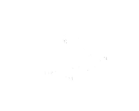 N#Cc1ccc(C#Cc2ccc(O)cc2Cl)c(CCc2cccnc2)c1